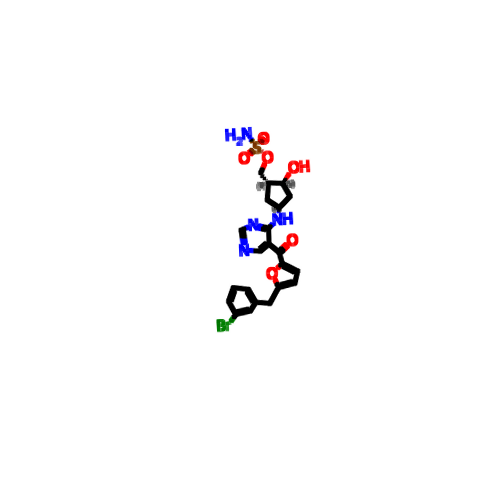 NS(=O)(=O)OC[C@H]1C[C@@H](Nc2ncncc2C(=O)c2ccc(Cc3cccc(Br)c3)o2)C[C@@H]1O